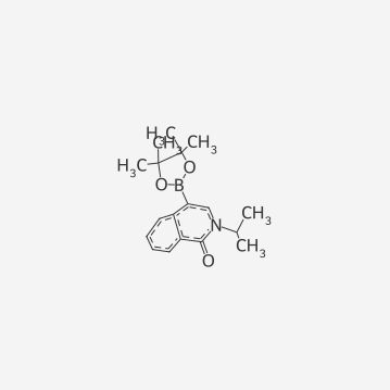 CC(C)n1cc(B2OC(C)(C)C(C)(C)O2)c2ccccc2c1=O